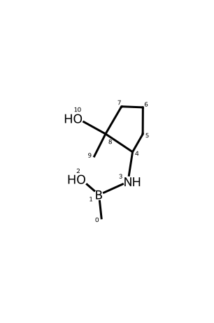 CB(O)NC1CCCC1(C)O